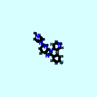 CN1CC2CC1CN2c1ccc2nc(-c3ccc(F)cc3)n(-c3ccncc3)c2n1